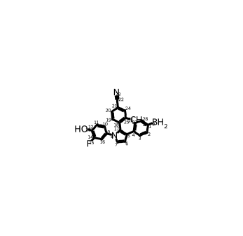 Bc1ccc(-c2ccn(-c3ccc(O)c(F)c3)c2-c2ccc(C#N)cc2C)cc1